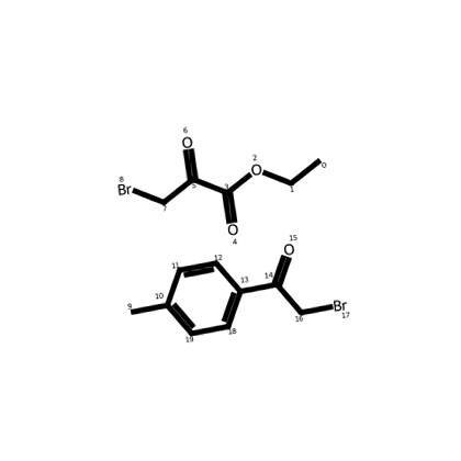 CCOC(=O)C(=O)CBr.Cc1ccc(C(=O)CBr)cc1